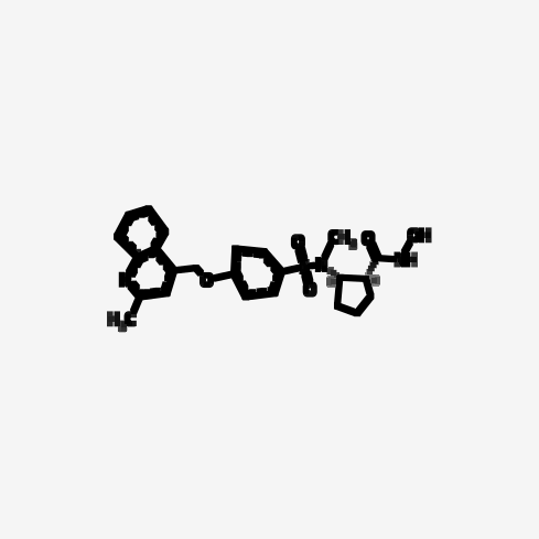 Cc1cc(COc2ccc(S(=O)(=O)N(C)[C@H]3CCC[C@H]3C(=O)NO)cc2)c2ccccc2n1